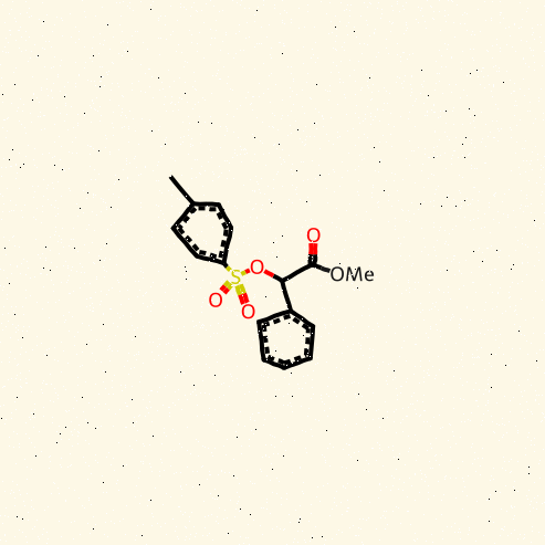 COC(=O)C(OS(=O)(=O)c1ccc(C)cc1)c1ccccc1